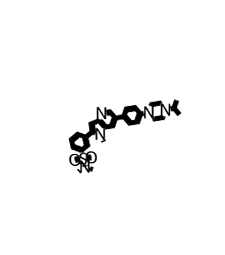 CC(C)N1CCN(c2ccc(-c3cnc4cc(-c5cccc(S(=O)(=O)N(C)C)c5)n(C)c4c3)cc2)CC1